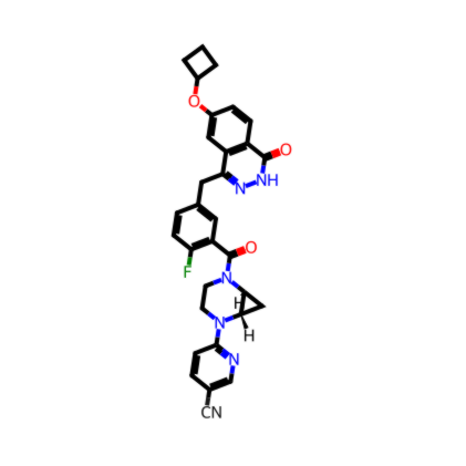 N#Cc1ccc(N2CCN(C(=O)c3cc(Cc4n[nH]c(=O)c5ccc(OC6CCC6)cc45)ccc3F)[C@@H]3C[C@@H]32)nc1